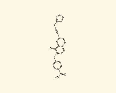 O=C(O)c1ccc(Cn2cnc3ccc(C#CCn4ccnc4)cc3c2=O)cc1